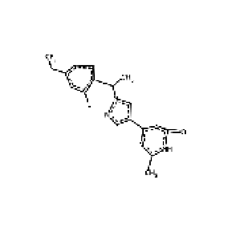 Cc1nc(-c2cnn(C(C)c3ccc(CC(F)(F)F)cc3F)c2)cc(=O)[nH]1